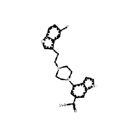 COC(=O)c1cc(N2CCN(CCc3coc4ccc(F)cc34)CC2)c2cc[nH]c2c1